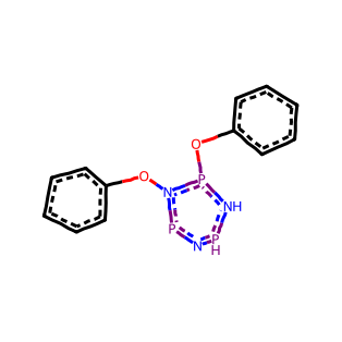 c1ccc(On2pn[pH][nH]p2Oc2ccccc2)cc1